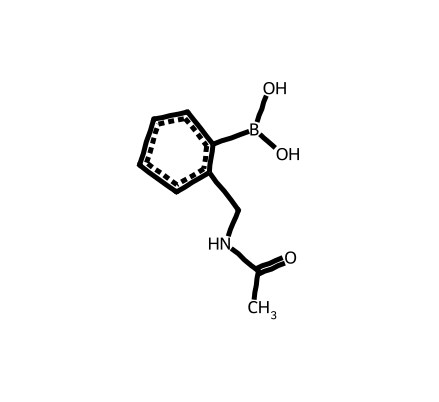 CC(=O)NCc1ccccc1B(O)O